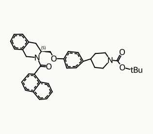 CC(C)(C)OC(=O)N1CCC(c2ccc(OC[C@@H]3Cc4ccccc4CN3C(=O)c3cccc4ccccc34)cc2)CC1